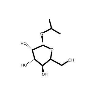 CC(C)O[C@H]1OC(CO)[C@@H](O)[C@H](O)[C@@H]1O